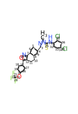 CN(/N=C/c1ccc2c(c1)CCc1c-2noc1-c1ccc(OC(F)(F)F)cc1)C(=S)Nc1ccc(Cl)cc1Cl